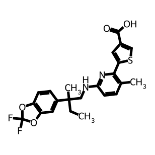 CCC(C)(CNc1ccc(C)c(-c2cc(C(=O)O)cs2)n1)c1ccc2c(c1)OC(F)(F)O2